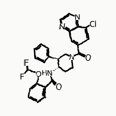 O=C(N[C@H]1CCN(C(=O)c2cc(Cl)c3nccnc3c2)C[C@@H]1c1ccccc1)c1ccccc1OC(F)F